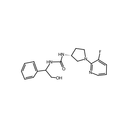 O=C(NC(CO)c1ccccc1)N[C@@H]1CCN(c2ncccc2F)C1